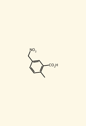 Cc1ccc(C[N+](=O)[O-])cc1C(=O)O